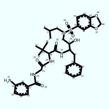 CC(C)CN(CC(O)C(Cc1ccccc1)NC(=O)C(NC(=O)CNC(=O)c1cccc(N)c1)C(C)(C)C)S(=O)(=O)c1ccc2c(c1)OCO2